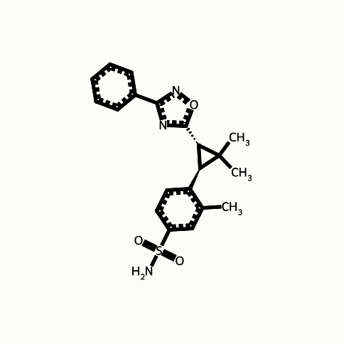 Cc1cc(S(N)(=O)=O)ccc1[C@H]1[C@H](c2nc(-c3ccccc3)no2)C1(C)C